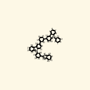 c1ccc(-n2c3ccccc3c3cc(-c4cccc(-c5ccc6c(c5)c5ccccc5n6-c5cccc(-c6nc7ccccc7s6)c5)c4)ccc32)cc1